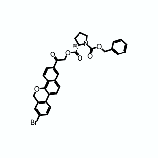 O=C(COC(=O)[C@@H]1CCCN1C(=O)OCc1ccccc1)c1ccc2c3c(ccc2c1)-c1ccc(Br)cc1CO3